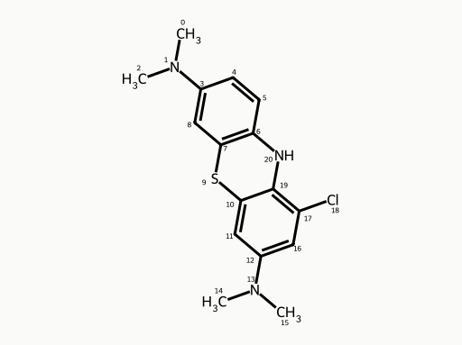 CN(C)c1ccc2c(c1)Sc1cc(N(C)C)cc(Cl)c1N2